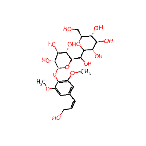 COc1cc(/C=C\CO)cc(OC)c1O[C@@H]1O[C@H](C(O)C2O[C@@H](CO)[C@H](O)[C@@H](O)[C@@H]2O)[C@@H](O)[C@H](O)[C@H]1O